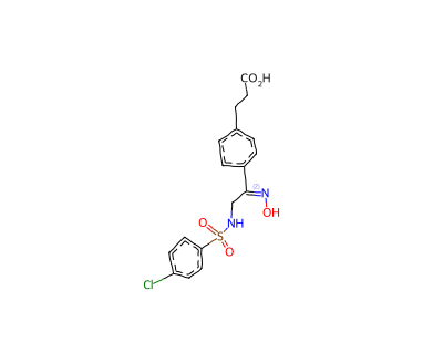 O=C(O)CCc1ccc(/C(CNS(=O)(=O)c2ccc(Cl)cc2)=N/O)cc1